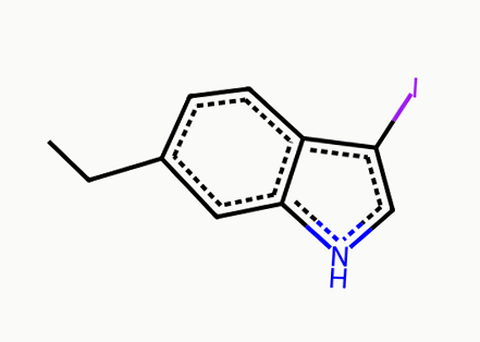 CCc1ccc2c(I)c[nH]c2c1